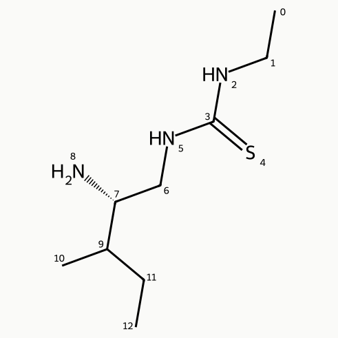 CCNC(=S)NC[C@@H](N)C(C)CC